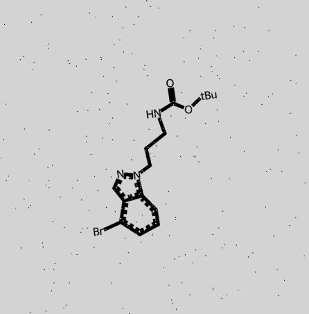 CC(C)(C)OC(=O)NCCCn1ncc2c(Br)cccc21